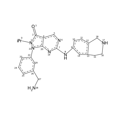 CC(C)n1c(=O)c2cnc(Nc3ccc4c(c3)CCNC4)nc2n1-c1cccc(CN)c1